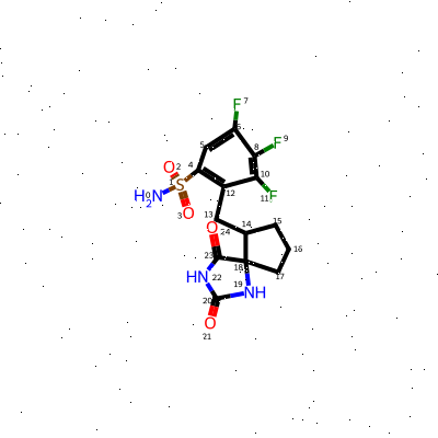 NS(=O)(=O)c1cc(F)c(F)c(F)c1CC1CCCC12NC(=O)NC2=O